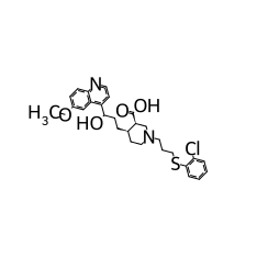 COc1ccc2nccc(C(O)CC[C@@H]3CCN(CCCSc4ccccc4Cl)C[C@@H]3C(=O)O)c2c1